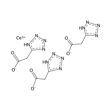 O=C([O-])Cc1nnn[nH]1.O=C([O-])Cc1nnn[nH]1.O=C([O-])Cc1nnn[nH]1.[Ce+3]